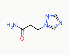 NC(=O)CCn1cncn1